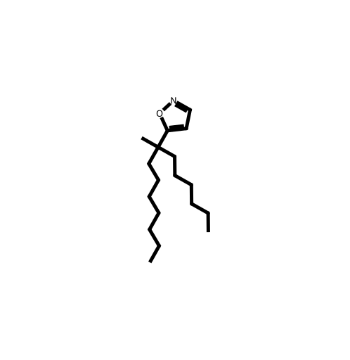 CCCCCCCC(C)(CCCCCC)c1ccno1